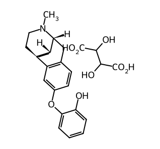 CN1CC[C@]23CCCC[C@H]2[C@H]1Cc1ccc(Oc2ccccc2O)cc13.O=C(O)C(O)C(O)C(=O)O